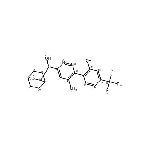 Cc1cc([C@H](O)C2CN3CCC2CC3)nnc1-c1ccc(C(F)(F)F)cc1O